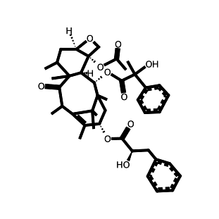 CC(=O)O[C@@]12CO[C@@H]1CC(C)C1(C)C(=O)C(C)C3=C(C)[C@@H](OC(=O)[C@H](O)Cc4ccccc4)CC(C)([C@@H](OC(=O)C(C)(O)c4ccccc4)[C@@H]12)C3(C)C